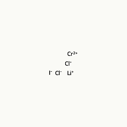 [Cl-].[Cl-].[Cr+2].[I-].[Li+]